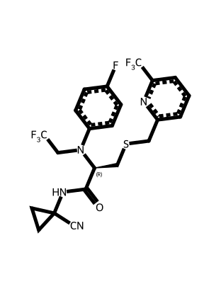 N#CC1(NC(=O)[C@H](CSCc2cccc(C(F)(F)F)n2)N(CC(F)(F)F)c2ccc(F)cc2)CC1